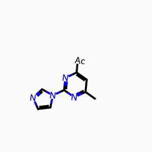 CC(=O)c1cc(C)nc(-n2ccnc2)n1